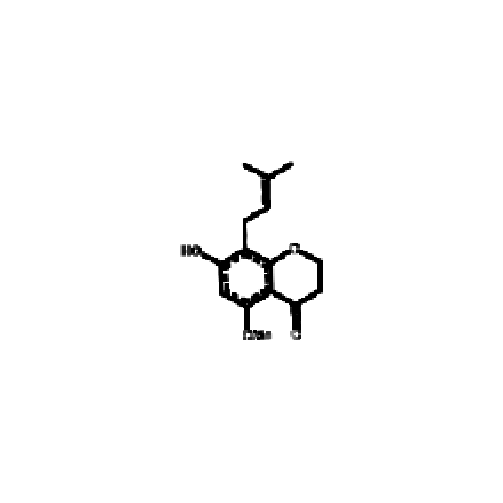 COc1cc(O)c(CC=C(C)C)c2c1C(=O)CCO2